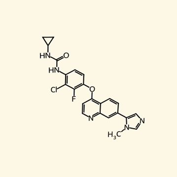 Cn1cncc1-c1ccc2c(Oc3ccc(NC(=O)NC4CC4)c(Cl)c3F)ccnc2c1